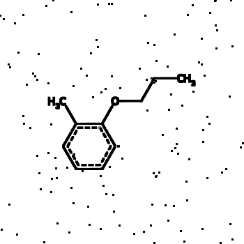 CCCOc1[c]cccc1C